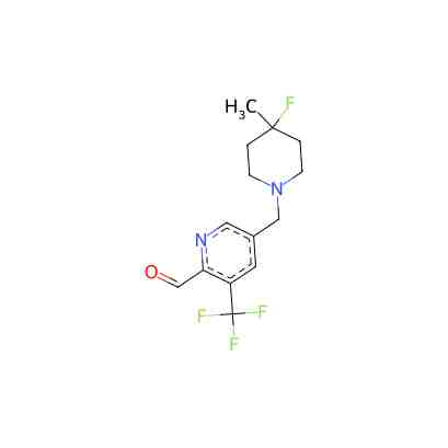 CC1(F)CCN(Cc2cnc(C=O)c(C(F)(F)F)c2)CC1